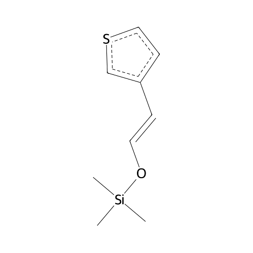 C[Si](C)(C)OC=Cc1ccsc1